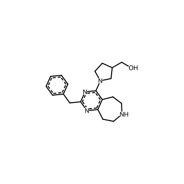 OCC1CCN(c2nc(Cc3ccccc3)nc3c2CCNCC3)C1